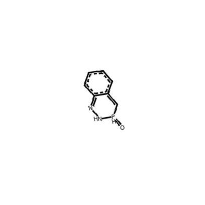 O=[PH]1C=c2ccccc2=NN1